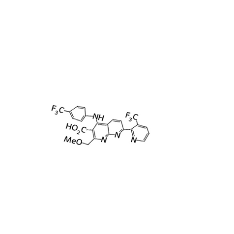 COCc1nc2nc(-c3ncccc3C(F)(F)F)ccc2c(Nc2ccc(C(F)(F)F)cc2)c1C(=O)O